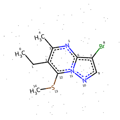 CCc1c(C)nc2c(Br)cnn2c1SC